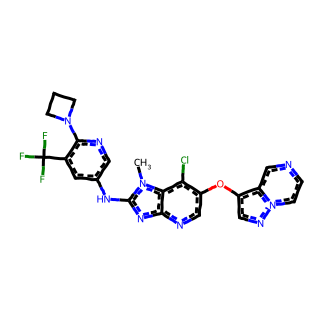 Cn1c(Nc2cnc(N3CCC3)c(C(F)(F)F)c2)nc2ncc(Oc3cnn4ccncc34)c(Cl)c21